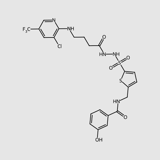 O=C(CCCNc1ncc(C(F)(F)F)cc1Cl)NNS(=O)(=O)c1ccc(CNC(=O)c2cccc(O)c2)s1